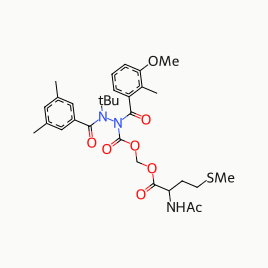 COc1cccc(C(=O)N(C(=O)OCOC(=O)C(CCSC)NC(C)=O)N(C(=O)c2cc(C)cc(C)c2)C(C)(C)C)c1C